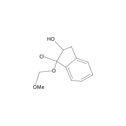 COCOC1(Cl)c2ccccc2CC1O